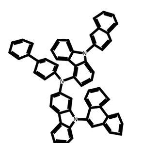 c1ccc(-c2ccc(N(c3ccc4c5ccccc5n(-c5cc6ccccc6c6ccccc56)c4c3)c3cccc4c3c3ccccc3n4-c3ccc4ccccc4c3)cc2)cc1